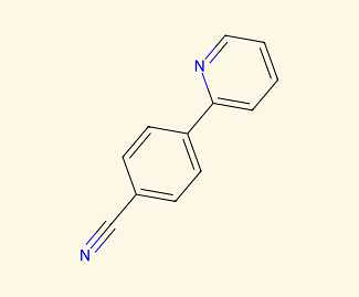 N#Cc1ccc(-c2ccccn2)cc1